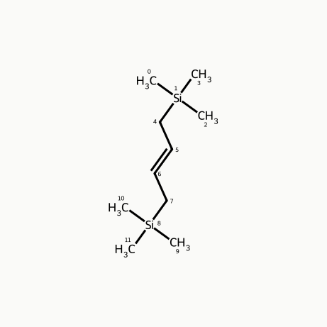 C[Si](C)(C)C/C=C/C[Si](C)(C)C